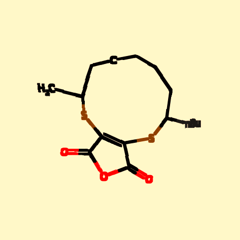 CCCCC1CCCCCC(C)SC2=C(S1)C(=O)OC2=O